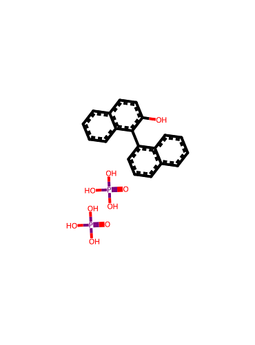 O=P(O)(O)O.O=P(O)(O)O.Oc1ccc2ccccc2c1-c1cccc2ccccc12